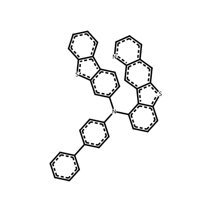 c1ccc(-c2ccc(N(c3ccc4c(c3)sc3ccccc34)c3cccc4sc5cc6cccnc6cc5c34)cc2)cc1